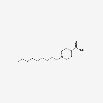 CCCCCCCCCN1CCC(C(N)=O)CC1